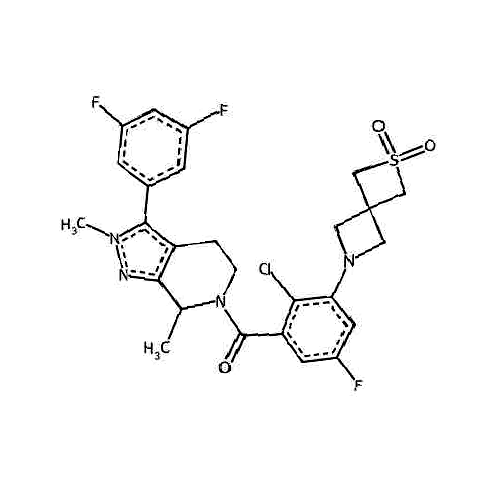 CC1c2nn(C)c(-c3cc(F)cc(F)c3)c2CCN1C(=O)c1cc(F)cc(N2CC3(C2)CS(=O)(=O)C3)c1Cl